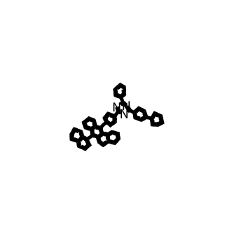 c1ccc(-c2ccc(-c3nc(-c4ccccc4)nc(-c4ccc(-c5c6ccccc6c(-c6cccc7ccccc67)c6ccc7ccccc7c56)cc4)n3)cc2)cc1